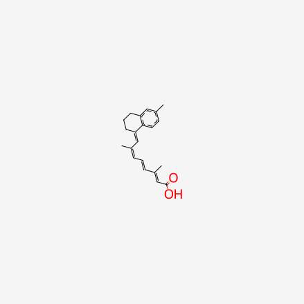 CC(=C/C=C/C(C)=C/C(=O)O)/C=C1\CCCc2cc(C)ccc21